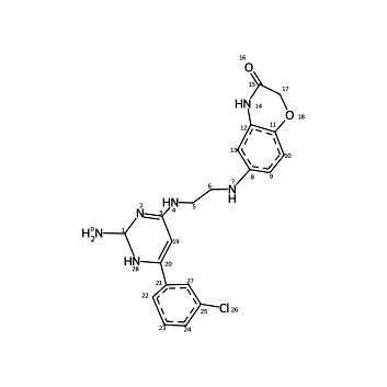 NC1N=C(NCCNc2ccc3c(c2)NC(=O)CO3)C=C(c2cccc(Cl)c2)N1